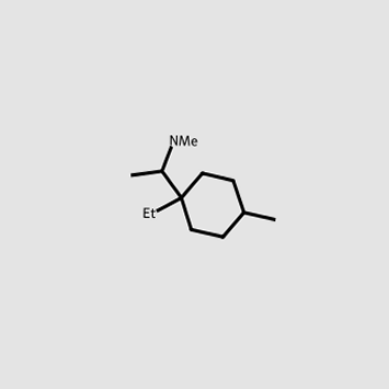 CCC1(C(C)NC)CCC(C)CC1